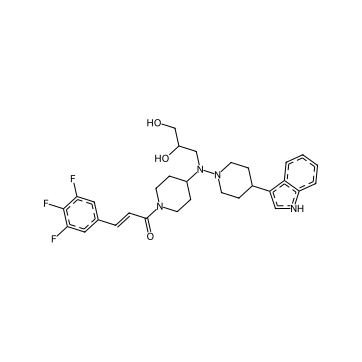 O=C(C=Cc1cc(F)c(F)c(F)c1)N1CCC(N(CC(O)CO)N2CCC(c3c[nH]c4ccccc34)CC2)CC1